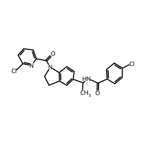 CC(NC(=O)c1ccc(Cl)cc1)c1ccc2c(c1)CCN2C(=O)c1cccc(Cl)n1